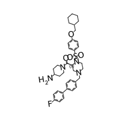 NC1CCN(C(=O)[C@@H]2CN(Cc3ccc(-c4ccc(F)cc4)cc3)CCN2S(=O)(=O)c2ccc(OCC3CCCCC3)cc2)CC1